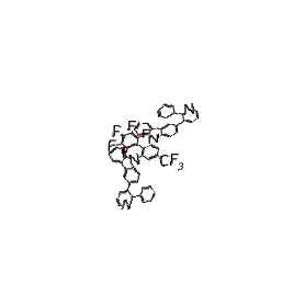 Fc1c(F)c(F)c(-c2c(-n3c4ccccc4c4cc(-c5cccnc5-c5ccccc5)ccc43)cc(C(F)(F)F)cc2-n2c3ccccc3c3cc(-c4cccnc4-c4ccccc4)ccc32)c(F)c1F